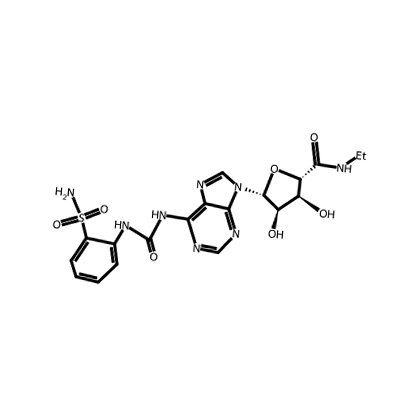 CCNC(=O)[C@H]1O[C@@H](n2cnc3c(NC(=O)Nc4ccccc4S(N)(=O)=O)ncnc32)[C@H](O)[C@@H]1O